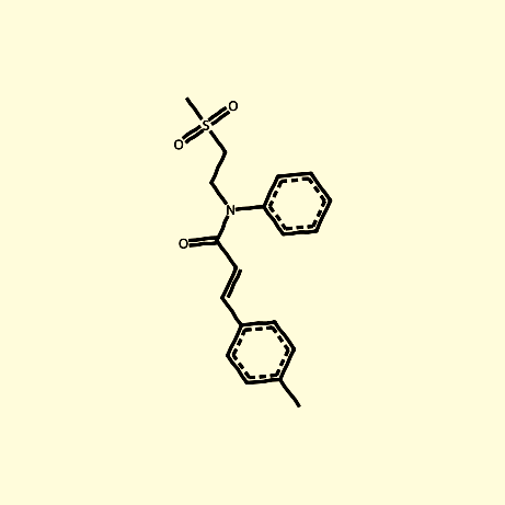 Cc1ccc(/C=C/C(=O)N(CCS(C)(=O)=O)c2ccccc2)cc1